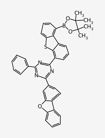 CC1(C)OB(c2cccc3sc4c(-c5nc(-c6ccccc6)nc(-c6ccc7c(c6)oc6ccccc67)n5)cccc4c23)OC1(C)C